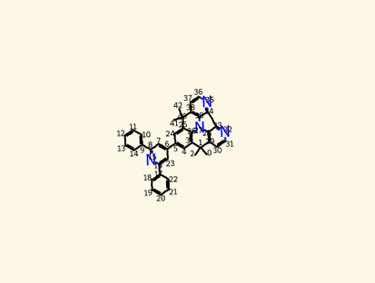 CC1(C)c2cc(-c3cc(-c4ccccc4)nc(-c4ccccc4)c3)cc3c2-n2c4c1ccnc4c1nccc(c12)C3(C)C